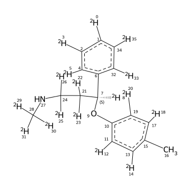 [2H]c1c([2H])c([2H])c([C@@]([2H])(Oc2c([2H])c([2H])c(C)c([2H])c2[2H])C([2H])([2H])C([2H])([2H])NC([2H])([2H])[2H])c([2H])c1[2H]